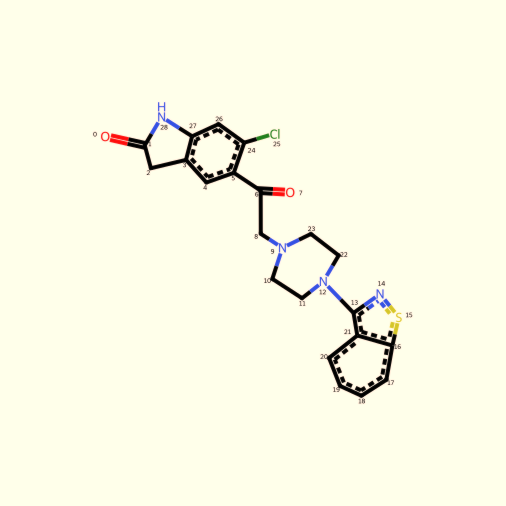 O=C1Cc2cc(C(=O)CN3CCN(c4nsc5ccccc45)CC3)c(Cl)cc2N1